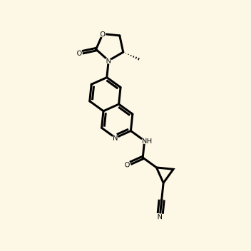 C[C@H]1COC(=O)N1c1ccc2cnc(NC(=O)C3CC3C#N)cc2c1